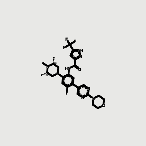 C[C@@H]1CN(c2cc(F)c(-c3cnc(N4CCOCC4)nc3)cc2NC(=O)c2cc(C(F)(F)F)[nH]n2)C[C@H](C)N1C